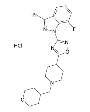 CC(C)c1nn(-c2noc(C3CCN(CC4CCOCC4)CC3)n2)c2c(F)cccc12.Cl